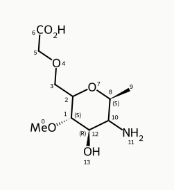 CO[C@@H]1C(COCC(=O)O)O[C@@H](C)C(N)[C@H]1O